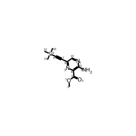 COC(=O)c1nc(C#C[Si](C)(C)C)cnc1N